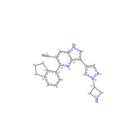 COc1cc2[nH]nc(-c3cnn(C4CNC4)c3)c2nc1-c1cccc2c1CCC2